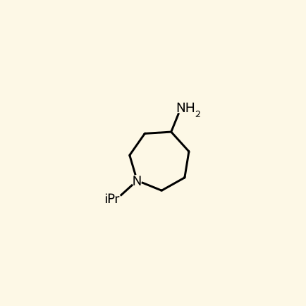 CC(C)N1CCCC(N)CC1